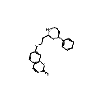 O=c1ccc2ccc(OCCC3CC(c4ccccc4)=CCN3)cc2o1